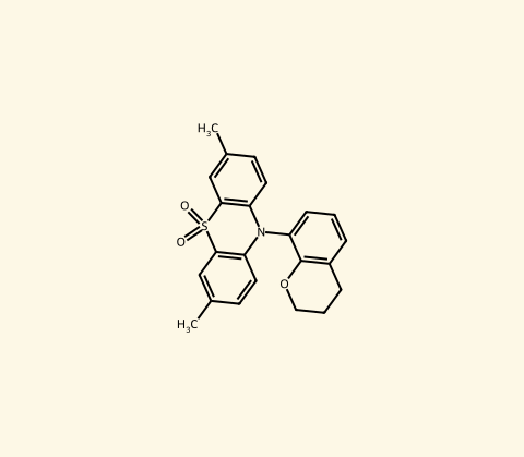 Cc1ccc2c(c1)S(=O)(=O)c1cc(C)ccc1N2c1cccc2c1OCCC2